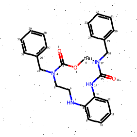 CC(C)(C)OC(=O)N(CCNc1ccccc1NC(=O)NCc1ccccc1)Cc1ccccc1